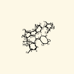 Cc1ccc(C(C2CCOCC2)n2c3cc(-c4c(C)nnn4C)cnc3c3c2c(C(C)(C)O)nn3C)nc1